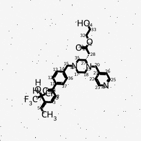 C=C(/C=C\C(=C/C)C(O)(C(F)(F)F)C(F)(F)F)c1ccc(CN2CCN(Cc3ccncc3)[C@@H](CC(=O)OCCO)C2)cc1